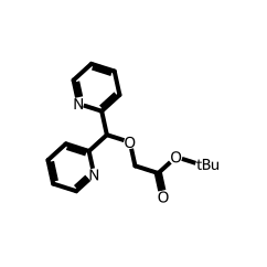 CC(C)(C)OC(=O)COC(c1ccccn1)c1ccccn1